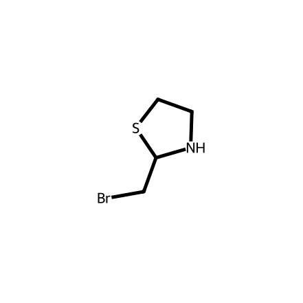 BrCC1NCCS1